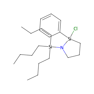 CCCC[Si](CCCC)(CCCC)N1CCC[Si]1(Cl)c1ccccc1